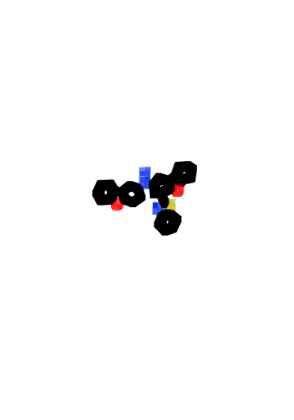 c1ccc2c(c1)OC1CCC(Nc3cc(-c4nc5ccccc5s4)c4oc5ccccc5c4c3)CC21